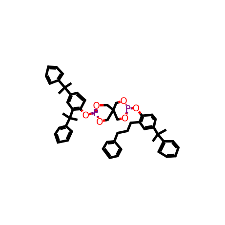 CC(C)(c1ccccc1)c1ccc(OP2OCC3(CO2)COP(Oc2ccc(C(C)(C)c4ccccc4)cc2C(C)(C)c2ccccc2)OC3)c(CCCc2ccccc2)c1